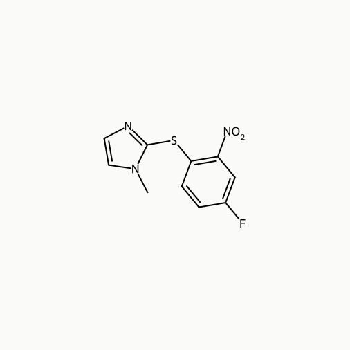 Cn1ccnc1Sc1ccc(F)cc1[N+](=O)[O-]